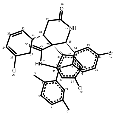 Cc1ccc(C)c(Oc2ccc(Br)cc2[C@H]2NC(=O)C[C@@H](C3C=CC=C(Cl)C3)[C@]23C(=O)Nc2cc(Cl)ccc23)c1